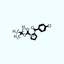 CC(C)(C)OC(=O)N1CCC[C@@H]1C(=O)c1ccc(Cl)cc1